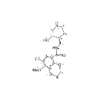 COc1c(Cl)cc(C(=O)NC[C@@H]2CCNCC2O)c2c1OCCO2